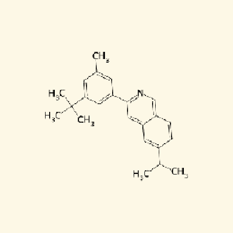 Cc1cc(-c2cc3cc(C(C)C)ccc3cn2)cc(C(C)(C)C)c1